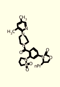 CCCC1COC(=O)N1c1ccc(C(=O)N2CCN(c3ncc(C)cc3C)CC2)c(N2CCCS2(=O)=O)c1